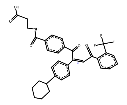 O=C(O)CCNC(=O)c1ccc(C(=O)/C(=C\C(=O)c2ccccc2C(F)(F)F)c2ccc(C3CCCCC3)cc2)cc1